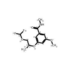 CNC(=O)c1cc(OC)cc(O[C@@H](C)COC(F)F)c1